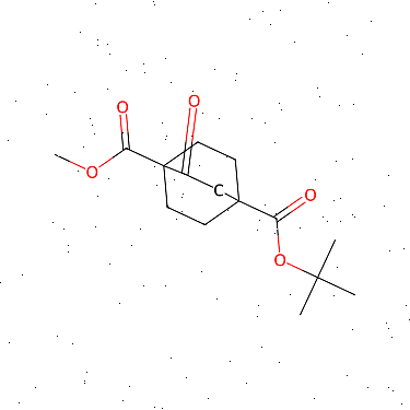 COC(=O)C12CCC(C(=O)OC(C)(C)C)(CC1)CC2=O